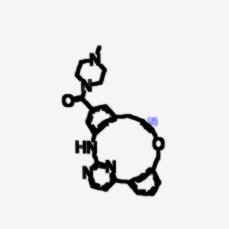 CN1CCN(C(=O)c2cc3cc(c2)Nc2nccc(n2)-c2cccc(c2)CO/C=C\C3)CC1